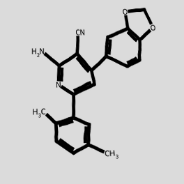 Cc1ccc(C)c(-c2cc(-c3ccc4c(c3)OCO4)c(C#N)c(N)n2)c1